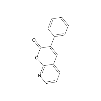 O=c1oc2ncccc2cc1-c1ccccc1